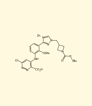 COc1c(Nc2cc(Cl)nnc2C(=O)O)cccc1-c1ncn(CC2CN(C(=O)OC(C)(C)C)C2)n1.[Zn]